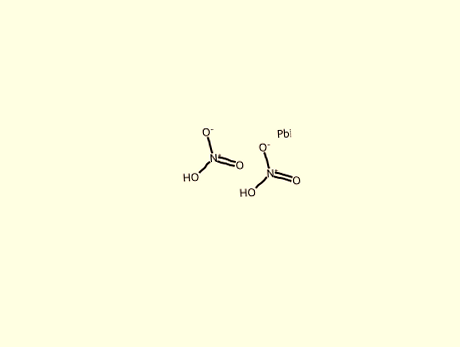 O=[N+]([O-])O.O=[N+]([O-])O.[Pb]